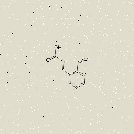 O=Cc1ccccc1/C=C/C(=O)O